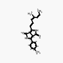 C\C=C/C(C)=C\C=C\C1=C2C(=O)NC(c3ccc(C)cc3)=C2C(=O)N1